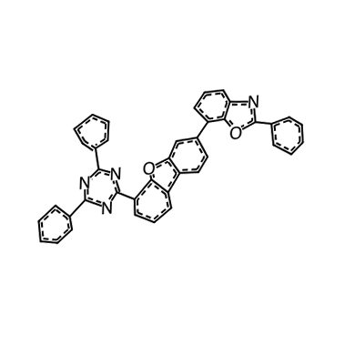 c1ccc(-c2nc(-c3ccccc3)nc(-c3cccc4c3oc3cc(-c5cccc6nc(-c7ccccc7)oc56)ccc34)n2)cc1